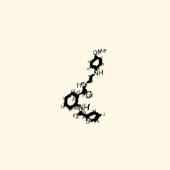 COc1ccc(NCCNC(=O)[C@@H]2CCCC[C@@H]2NC(=O)c2cccs2)cc1